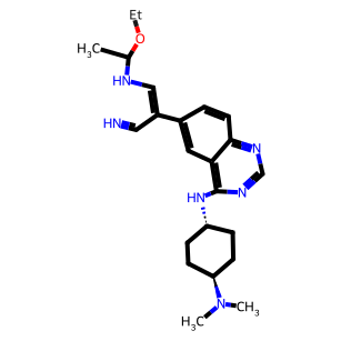 CCOC(C)N/C=C(\C=N)c1ccc2ncnc(N[C@H]3CC[C@H](N(C)C)CC3)c2c1